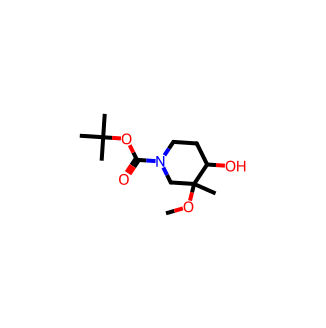 COC1(C)CN(C(=O)OC(C)(C)C)CCC1O